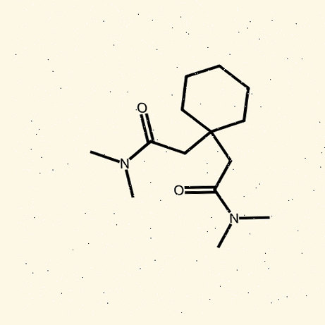 CN(C)C(=O)CC1(CC(=O)N(C)C)CCCCC1